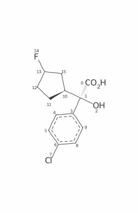 O=C(O)[C@](O)(c1ccc(Cl)cc1)[C@H]1CCC(F)C1